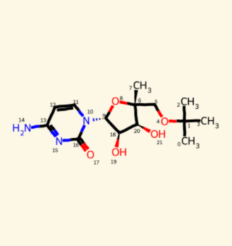 CC(C)(C)OC[C@@]1(C)O[C@@H](n2ccc(N)nc2=O)[C@H](O)[C@@H]1O